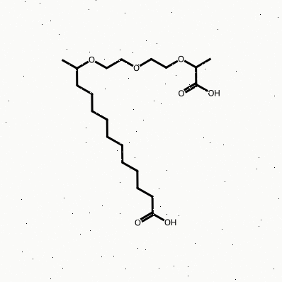 CC(CCCCCCCCCCC(=O)O)OCCOCCOC(C)C(=O)O